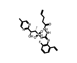 C=CCCC(=O)NN/C(=N/c1c(F)cccc1C=C)NS(=O)(=O)[C@@H](C)[C@@H](O)c1ncc(C)cn1